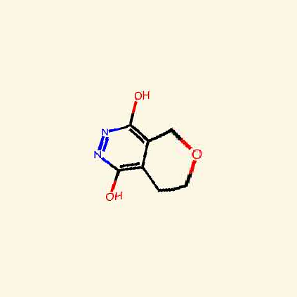 Oc1nnc(O)c2c1CCOC2